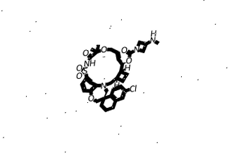 CNC1CN(C(=O)O[C@H]2/C=C/COC(C)(C)C(=O)NS(=O)(=O)c3ccc4c(c3)N(C[C@@H]3CC[C@H]32)C[C@@]2(CCCc3cc(Cl)ccc32)CO4)C1